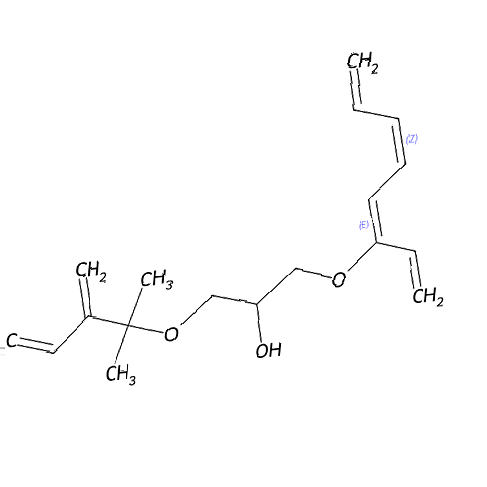 C=C/C=C\C=C(/C=C)OCC(O)COC(C)(C)C(=C)C=C